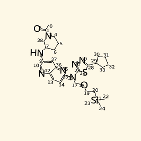 CC(=O)N1CCCC(Nc2cnc3ccc(N(COCC[Si](C)(C)C)c4nnc(C5CCCC5)s4)nc3c2)C1